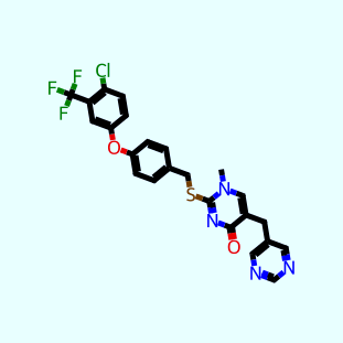 Cn1cc(Cc2cncnc2)c(=O)nc1SCc1ccc(Oc2ccc(Cl)c(C(F)(F)F)c2)cc1